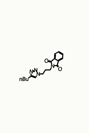 CCCCc1cn(CCCN2C(=O)c3ccccc3C2=O)nn1